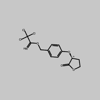 N=C(OCc1ccc(O[C@H]2CCOC2=O)cc1)C(Cl)(Cl)Cl